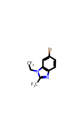 FC(F)(F)Cn1c(C(F)(F)F)nc2ccc(Br)cc21